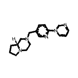 C1=CN(c2ccc(CN3CCN4CCC[C@@H]4C3)cn2)CN=C1